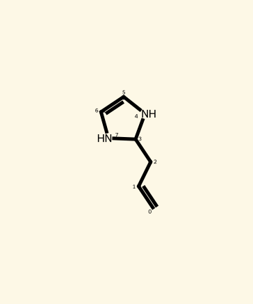 C=CCC1N[C]=[C]N1